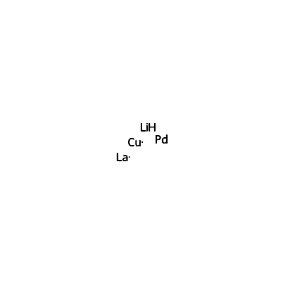 [Cu].[La].[LiH].[Pd]